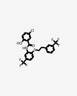 O=C(Nc1cc(C(F)(F)F)ccc1SCCc1cccc(C(F)(F)F)c1)c1cc(Cl)ccc1O